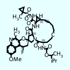 COc1ccc2nc(C)c3c(c2c1)[C@H](F)C[C@]1(C[C@H]2C(=O)N[C@]4(C(=O)NS(=O)(=O)C5(C)CC5)C[C@H]4/C=C\CCCCC[C@H](NC(=O)OC(C)C(C)C)C(=O)N2C1)O3